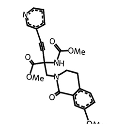 COC(=O)NC(C#Cc1cccnc1)(CN1CCc2ccc(OC)cc2C1=O)C(=O)OC